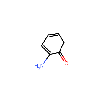 NC1=CC=CCC1=O